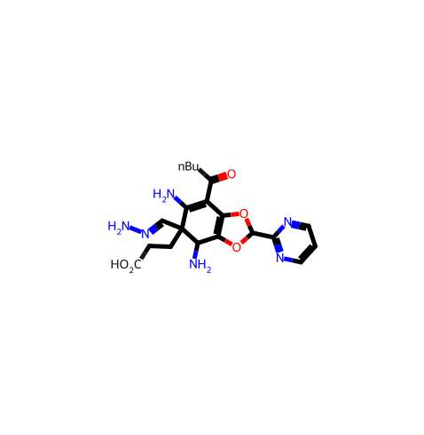 CCCCC(=O)C1=C(N)C(C=NN)(CCC(=O)O)C(N)C2=C1OC(c1ncccn1)O2